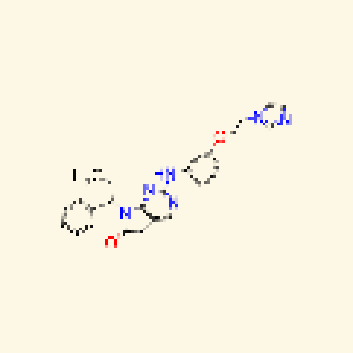 CCC(c1ccccc1)N1C(=O)Cc2cnc(Nc3cccc(OCCn4ccnc4)c3)nc21